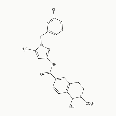 Cc1cc(NC(=O)c2ccc3c(c2)CCN(C(=O)O)C3C(C)(C)C)nn1Cc1cccc(Cl)c1